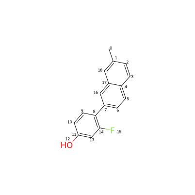 Cc1ccc2ccc(-c3ccc(O)cc3F)cc2c1